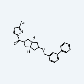 CC(=O)c1ccn(C(=O)N2C[C@H]3C[C@@H](OCc4cccc(-c5ccccc5)c4)C[C@H]3C2)n1